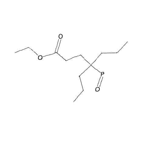 CCCC(CCC)(CCC(=O)OCC)P=O